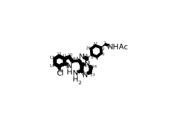 CC(=O)NC[C@H]1CC[C@H](c2nc(-c3cc4cccc(Cl)c4[nH]3)c3c(N)nccn32)CC1